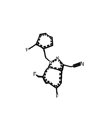 N#Cc1nn(Cc2ccccc2F)c2c(F)cc(F)cc12